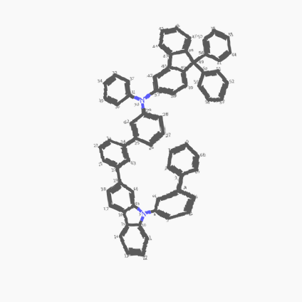 c1ccc(-c2cccc(-n3c4ccccc4c4ccc(-c5cccc(-c6cccc(N(c7ccccc7)c7ccc8c(c7)-c7ccccc7C8(c7ccccc7)c7ccccc7)c6)c5)cc43)c2)cc1